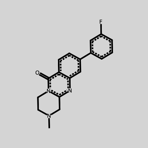 CN1CCn2c(nc3cc(-c4cccc(F)c4)ccc3c2=O)C1